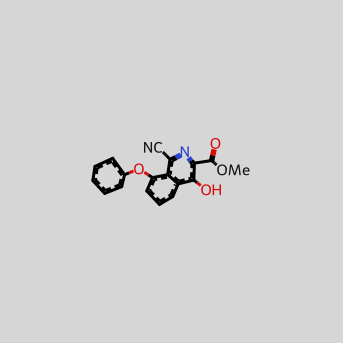 COC(=O)c1nc(C#N)c2c(Oc3ccccc3)cccc2c1O